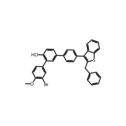 COc1ccc(-c2cc(-c3ccc(-c4c(Cc5ccccc5)sc5ccccc45)cc3)ccc2O)cc1Br